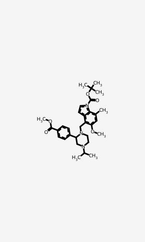 COC(=O)c1ccc(C2CN(C(C)C)CCN2Cc2c(OC)cc(C)c3c2ccn3C(=O)OC(C)(C)C)cc1